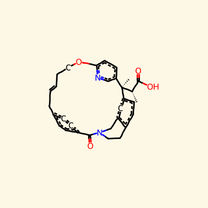 C[C@@H](C(=O)O)[C@]1(C)c2ccc(nc2)OCC/C=C/Cc2ccc(cc2)C(=O)N2CCc3ccc1cc3C2